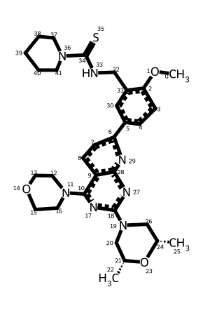 COc1ccc(-c2ccc3c(N4CCOCC4)nc(N4C[C@@H](C)O[C@@H](C)C4)nc3n2)cc1CNC(=S)N1CCCCC1